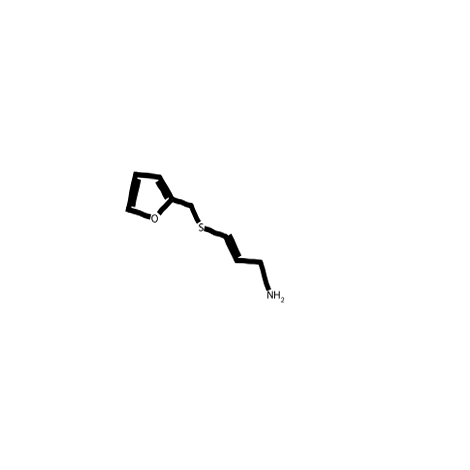 NCC=CSCc1ccco1